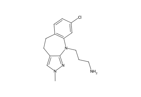 Cn1cc2c(n1)N(CCCN)c1cc(Cl)ccc1CC2